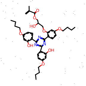 C=C(C)C(=O)OCC(O)COc1cc(OCCCC)ccc1-c1nc(-c2ccc(OCCCC)cc2O)nc(-c2ccc(OCCCC)cc2O)n1